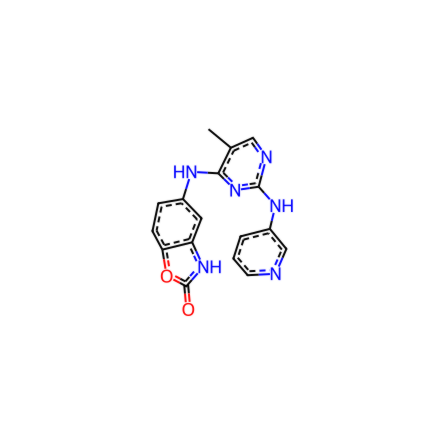 Cc1cnc(Nc2cccnc2)nc1Nc1ccc2oc(=O)[nH]c2c1